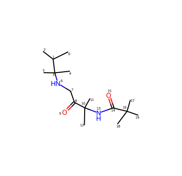 CC(C)C(C)(C)NCC(=O)C(C)(C)NC(=O)C(C)(C)C